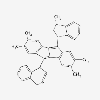 Cc1cc2c(cc1C)C(C1C=NCc3ccccc31)=C1C2=C(C2CC(C)c3ccccc32)c2cc(C)c(C)cc21